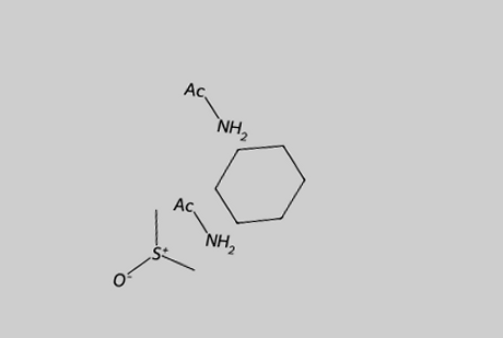 C1CCCCC1.CC(N)=O.CC(N)=O.C[S+](C)[O-]